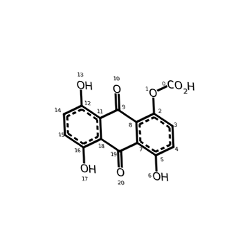 O=C(O)Oc1ccc(O)c2c1C(=O)c1c(O)ccc(O)c1C2=O